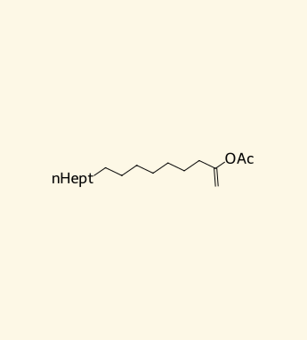 C=C(CCCCCCCCCCCCCC)OC(C)=O